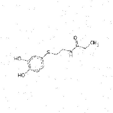 CCC(=O)NCCSc1ccc(O)c(O)c1